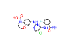 CNC(=O)c1cccc(F)c1Nc1nc(Nc2ccc3c(c2)OCCCN3C(=O)O)ncc1Cl